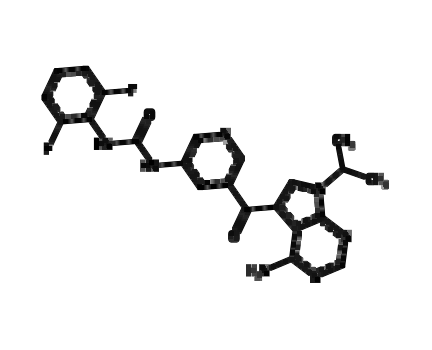 CC(C)n1cc(C(=O)c2cncc(NC(=O)Nc3c(F)cccc3F)c2)c2c(N)ncnc21